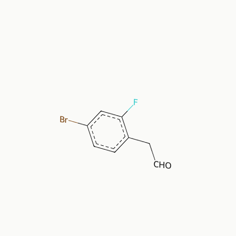 O=CCc1ccc(Br)cc1F